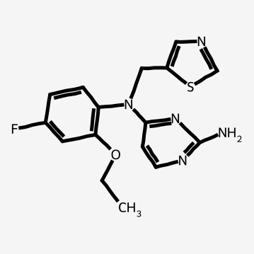 CCOc1cc(F)ccc1N(Cc1cncs1)c1ccnc(N)n1